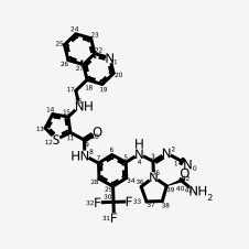 N#C/N=C(/Nc1cc(NC(=O)c2sccc2NCc2ccnc3ccccc23)cc(C(F)(F)F)c1)N1CCC[C@@H]1C(N)=O